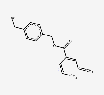 C=C/C=C(\C=C/C)C(=O)OCc1ccc(CC(C)=O)cc1